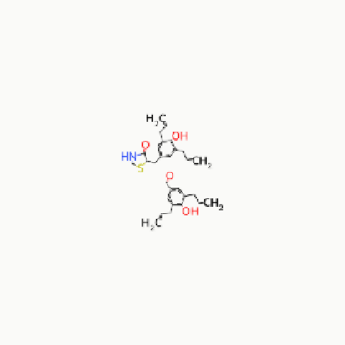 C=CCc1cc(C=O)cc(CC=C)c1O.C=CCc1cc(CC2SCNC2=O)cc(CC=C)c1O